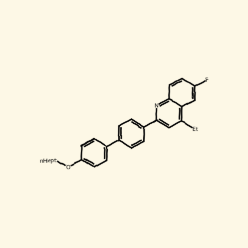 CCCCCCCOc1ccc(-c2ccc(-c3cc(CC)c4cc(F)ccc4n3)cc2)cc1